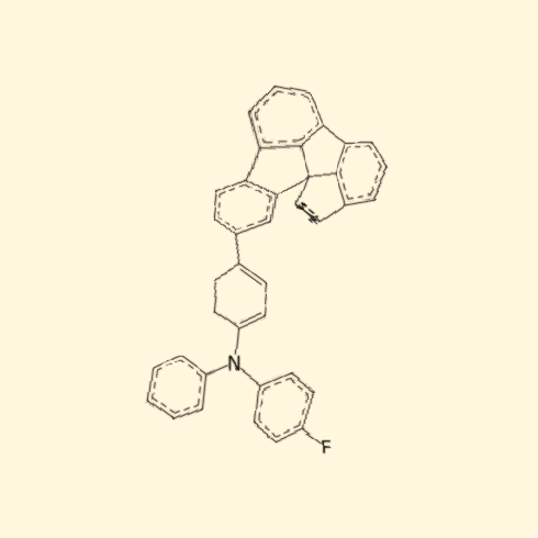 Fc1ccc(N(C2=CC=C(c3ccc4c(c3)C35c6ccccc6-c6cccc(c63)-c3cccc-4c35)CC2)c2ccccc2)cc1